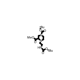 COC(=O)C1CN(C(=O)OC(C)(C)C)CCN1CCNC(=O)OC(C)(C)C